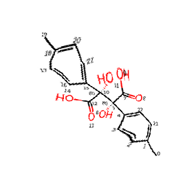 Cc1ccc([C@](O)(C(=O)O)[C@@](O)(C(=O)O)c2ccc(C)cc2)cc1